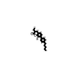 CCCCCc1ccc(-c2ccc3c(c2F)OC(=O)C(CC)C3)cc1